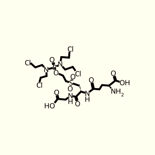 N[C@@H](CCC(=O)N[C@@H](CS(=O)(=O)CCOP(=O)(N(CCCl)CCCl)N(CCCl)CCCl)C(=O)NCC(=O)O)C(=O)O